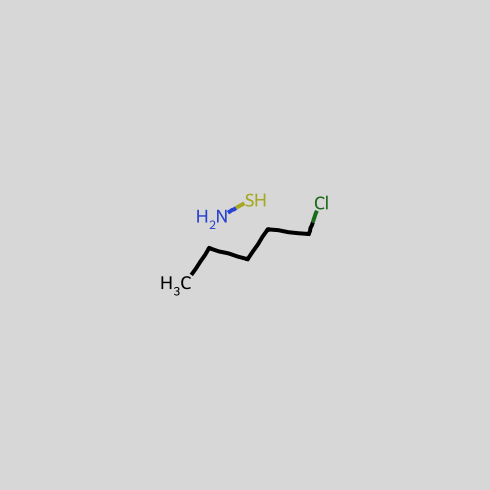 CCCCCCl.NS